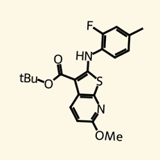 COc1ccc2c(C(=O)OC(C)(C)C)c(Nc3ccc(C)cc3F)sc2n1